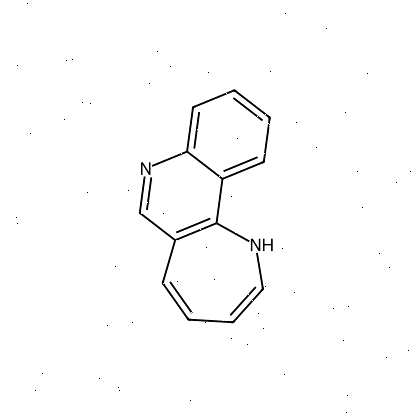 C1=CNc2c(cnc3ccccc23)C=C1